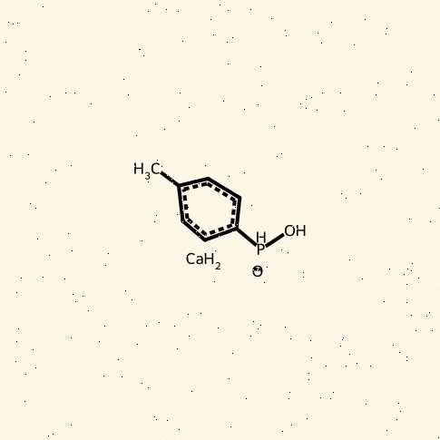 Cc1ccc([PH](=O)O)cc1.[CaH2]